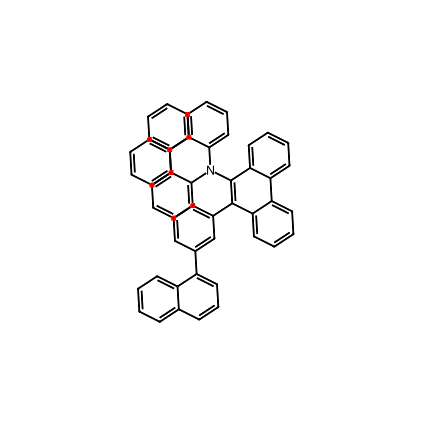 c1ccc(-c2ccccc2N(c2ccccc2-c2ccccc2)c2c(-c3cccc(-c4cccc5ccccc45)c3)c3ccccc3c3ccccc23)cc1